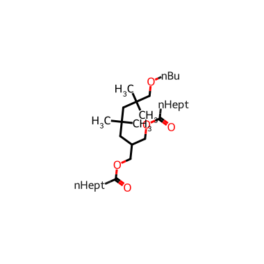 CCCCCCCC(=O)OCC(COC(=O)CCCCCCC)CC(C)(C)CC(C)(C)COCCCC